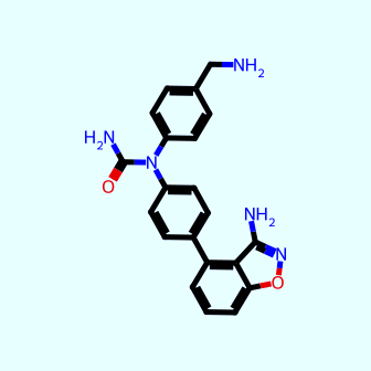 NCc1ccc(N(C(N)=O)c2ccc(-c3cccc4onc(N)c34)cc2)cc1